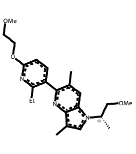 CCc1nc(OCCOC)ccc1-c1nc2c(C)cn([C@@H](C)COC)c2cc1C